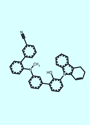 CN(c1cccc(-c2cccc(-n3c4c(c5ccccc53)CCC=C4)c2O)c1)c1ccccc1-c1cccc(C#N)c1